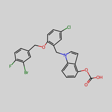 O=C(O)Oc1cccc2c1ccn2Cc1cc(Cl)ccc1OCc1ccc(F)c(Br)c1